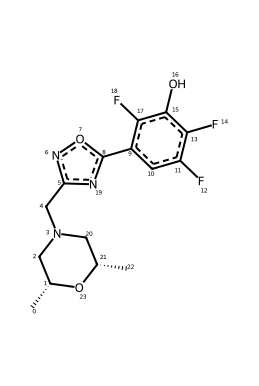 C[C@@H]1CN(Cc2noc(-c3cc(F)c(F)c(O)c3F)n2)C[C@H](C)O1